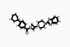 O=C(c1ccc(C2CCCCC2)cc1)N1CC(N2CCN(c3nc4ccccc4s3)CC2)C1